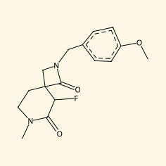 COc1ccc(CN2CC3(CCN(C)C(=O)C3F)C2=O)cc1